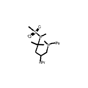 CCCC(CN(C)C(C)C)CC(C)(C)N(C)S(C)(=O)=O